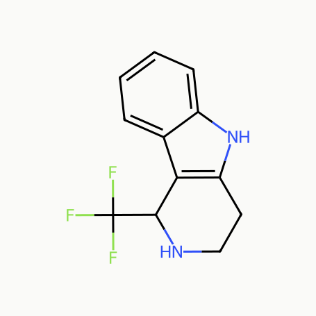 FC(F)(F)C1NCCc2[nH]c3ccccc3c21